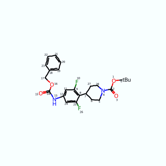 CC(C)(C)OC(=O)N1CCC(c2c(F)cc(NC(=O)OCc3ccccc3)cc2F)CC1